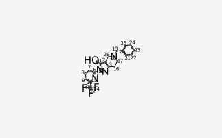 Oc1c2c(nn1-c1cccc(C(F)(F)F)n1)CCN(Cc1ccccc1)C2